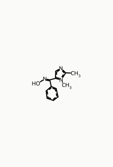 Cc1ncc(/C(=N/O)c2ccccc2)n1C